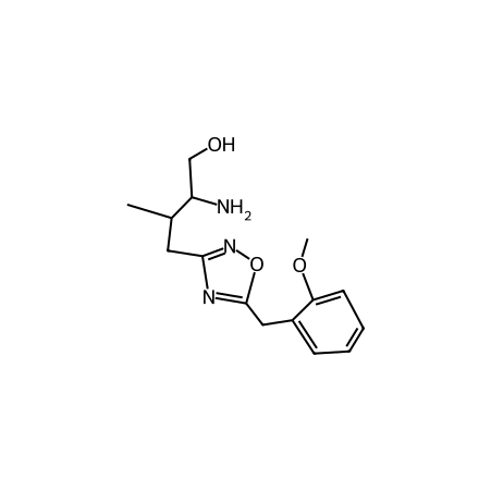 COc1ccccc1Cc1nc(CC(C)C(N)CO)no1